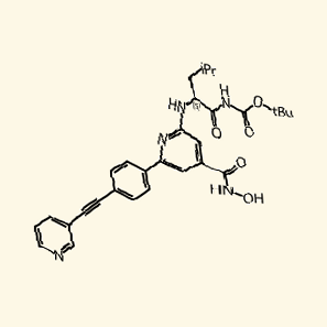 CC(C)C[C@H](Nc1cc(C(=O)NO)cc(-c2ccc(C#Cc3cccnc3)cc2)n1)C(=O)NC(=O)OC(C)(C)C